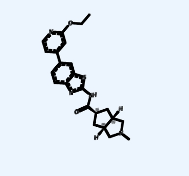 CCOc1cc(-c2ccc3nc(NC(=O)[C@H]4C[C@@H]5CN(C)C[C@@H]5C4)sc3c2)ccn1